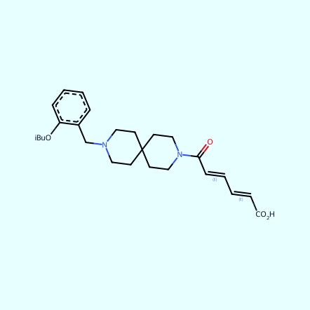 CC(C)COc1ccccc1CN1CCC2(CC1)CCN(C(=O)/C=C/C=C/C(=O)O)CC2